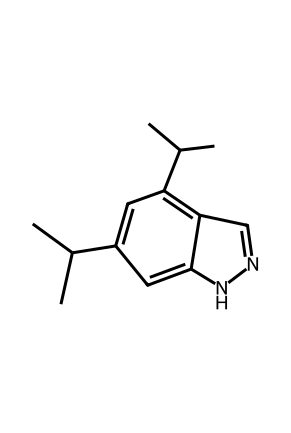 CC(C)c1cc(C(C)C)c2cn[nH]c2c1